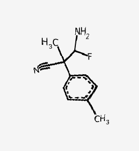 Cc1ccc(C(C)(C#N)C(N)F)cc1